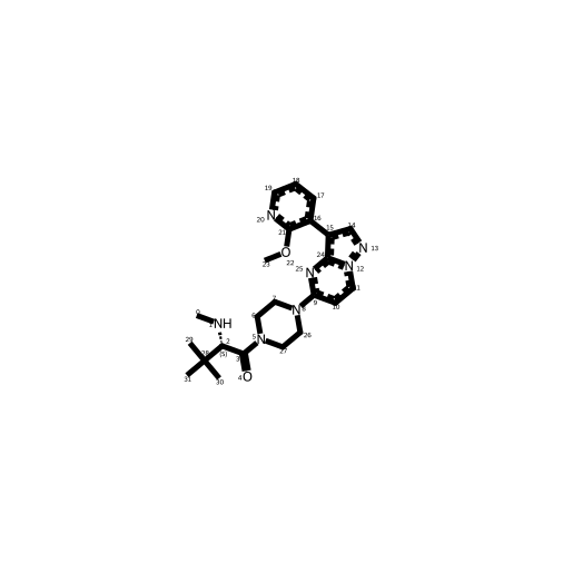 CN[C@H](C(=O)N1CCN(c2ccn3ncc(-c4cccnc4OC)c3n2)CC1)C(C)(C)C